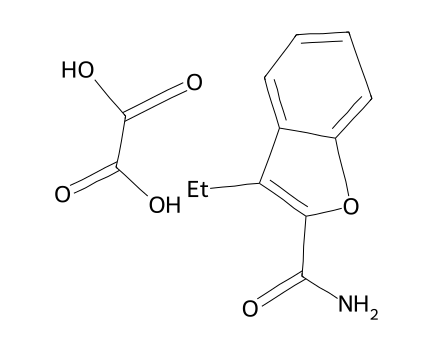 CCc1c(C(N)=O)oc2ccccc12.O=C(O)C(=O)O